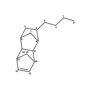 CCCCC1CC2CC1C1C3C=CC(C3)C21